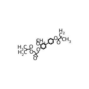 C=C(C)C(=O)OCC1(COc2ccc(-c3ccc(OC(=O)C(=C)C)cc3)cc2OC)COC1